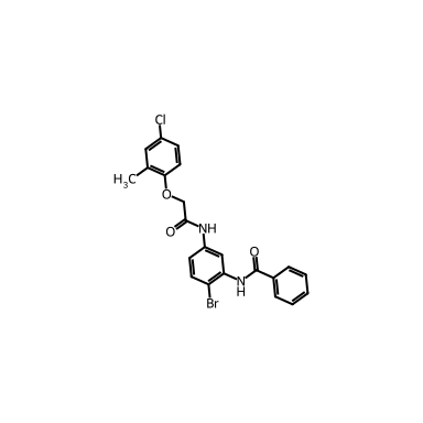 Cc1cc(Cl)ccc1OCC(=O)Nc1ccc(Br)c(NC(=O)c2ccccc2)c1